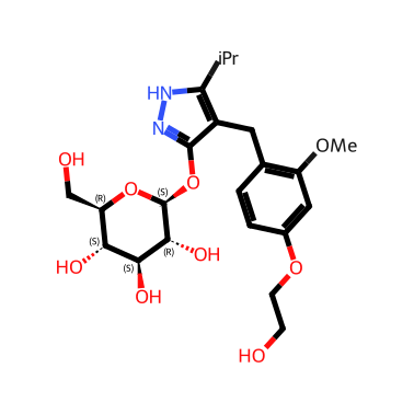 COc1cc(OCCO)ccc1Cc1c(O[C@@H]2O[C@H](CO)[C@@H](O)[C@H](O)[C@H]2O)n[nH]c1C(C)C